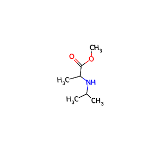 COC(=O)C(C)NC(C)C